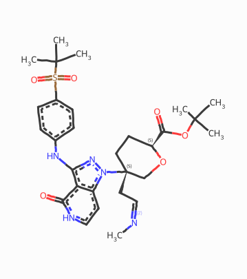 C/N=C\C[C@@]1(n2nc(Nc3ccc(S(=O)(=O)C(C)(C)C)cc3)c3c(=O)[nH]ccc32)CC[C@@H](C(=O)OC(C)(C)C)OC1